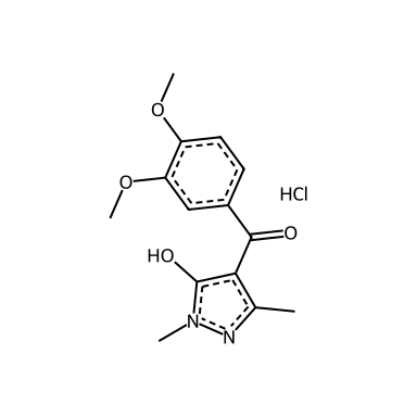 COc1ccc(C(=O)c2c(C)nn(C)c2O)cc1OC.Cl